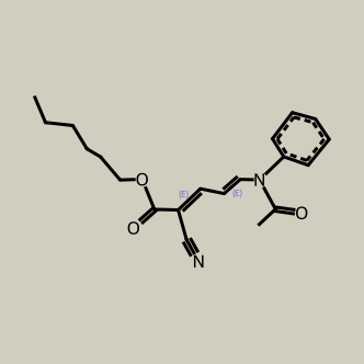 CCCCCCOC(=O)/C(C#N)=C/C=C/N(C(C)=O)c1ccccc1